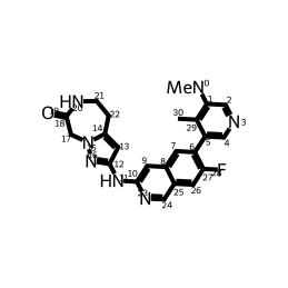 CNc1cncc(-c2cc3cc(Nc4cc5n(n4)CC(=O)NCC5)ncc3cc2F)c1C